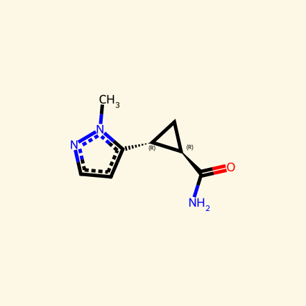 Cn1nccc1[C@@H]1C[C@H]1C(N)=O